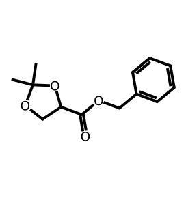 CC1(C)OCC(C(=O)OCc2ccccc2)O1